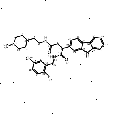 CN1CCN(CCNC(=O)CC(C(=O)NCc2cc(Cl)ccc2F)c2ccc3c(c2)[nH]c2ccccc23)CC1